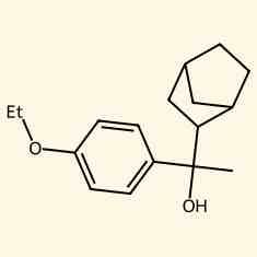 CCOc1ccc(C(C)(O)C2CC3CCC2C3)cc1